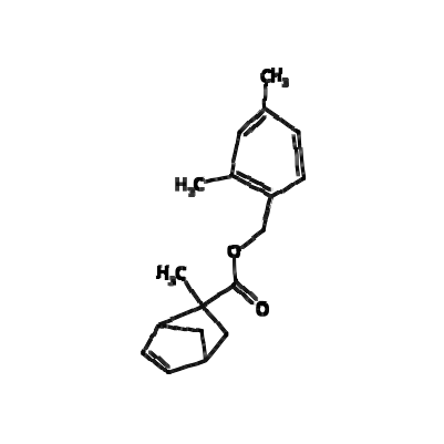 Cc1ccc(COC(=O)C2(C)CC3C=CC2C3)c(C)c1